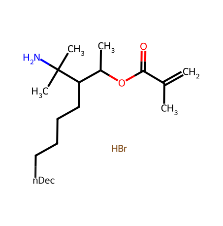 Br.C=C(C)C(=O)OC(C)C(CCCCCCCCCCCCCC)C(C)(C)N